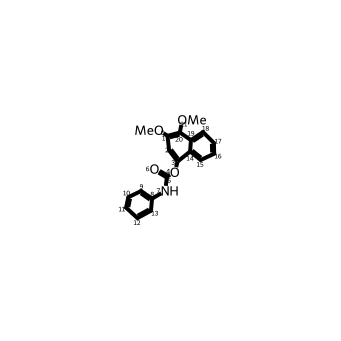 COc1cc(OC(=O)Nc2ccccc2)c2ccccc2c1OC